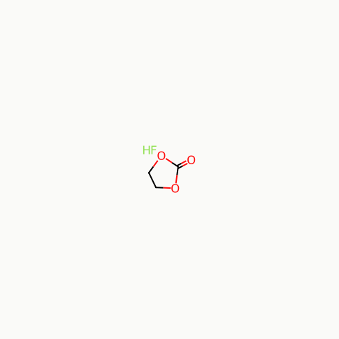 F.O=C1OCCO1